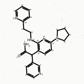 NC(=O)C(c1cccnc1)c1ccc(N2CCCC2)nc1NCCc1ccccn1